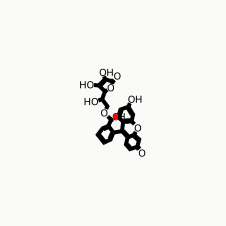 C=C(OCC(O)C1OC(=O)C(O)=C1O)c1ccccc1-c1c2ccc(=O)cc-2oc2cc(O)ccc12